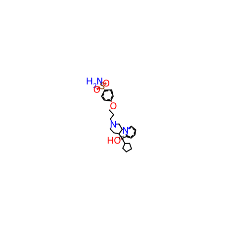 NS(=O)(=O)c1ccc(OCCCN2CCC([C@](O)(c3ccccn3)C3CCCC3)CC2)cc1